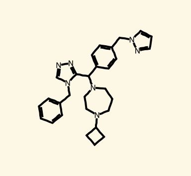 c1ccc(Cn2cnnc2C(c2ccc(Cn3cccn3)cc2)N2CCCN(C3CCC3)CC2)cc1